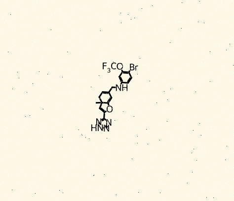 CC12C=C(c3nn[nH]n3)OC1=CC(CNc1ccc(Br)c(OC(F)(F)F)c1)=CC2